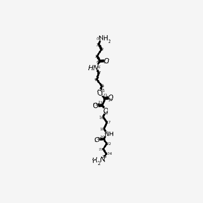 NCCCC(=O)NCCCOC(=O)C(=O)OCCCNC(=O)CCCN